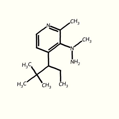 CCC(c1ccnc(C)c1N(C)N)C(C)(C)C